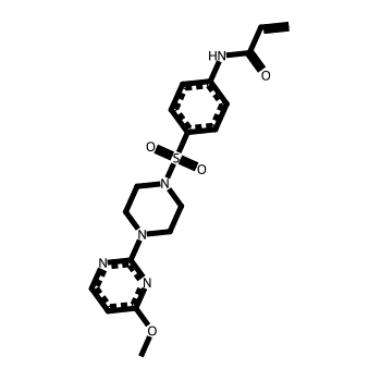 C=CC(=O)Nc1ccc(S(=O)(=O)N2CCN(c3nccc(OC)n3)CC2)cc1